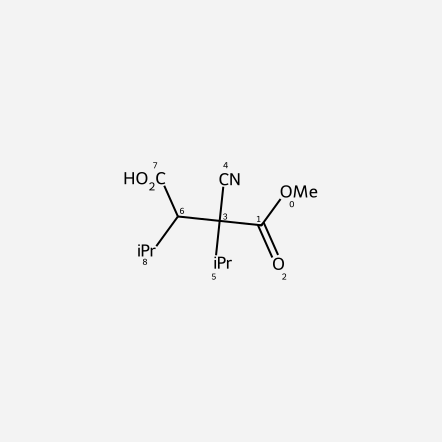 COC(=O)C(C#N)(C(C)C)C(C(=O)O)C(C)C